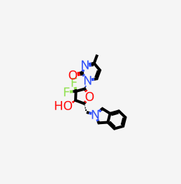 Cc1ccn([C@@H]2O[C@H](CN3Cc4ccccc4C3)[C@@H](O)C2(F)F)c(=O)n1